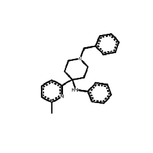 Cc1cccc(C2(Nc3ccccc3)CCN(Cc3ccccc3)CC2)n1